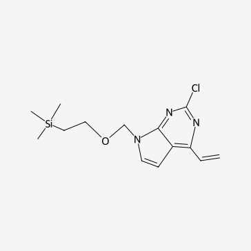 C=Cc1nc(Cl)nc2c1ccn2COCC[Si](C)(C)C